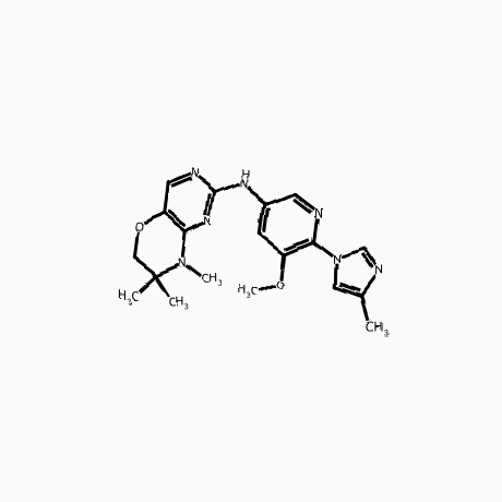 COc1cc(Nc2ncc3c(n2)N(C)C(C)(C)CO3)cnc1-n1cnc(C)c1